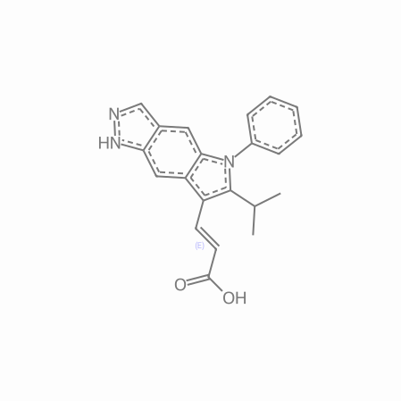 CC(C)c1c(/C=C/C(=O)O)c2cc3[nH]ncc3cc2n1-c1ccccc1